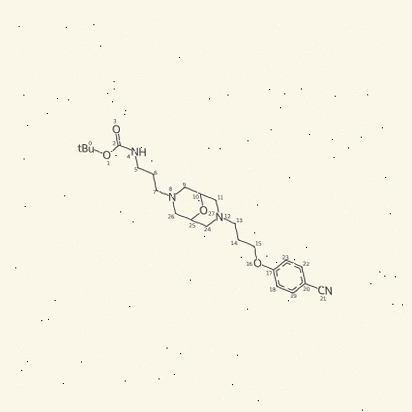 CC(C)(C)OC(=O)NCCCN1CC2CN(CCCOc3ccc(C#N)cc3)CC(C1)O2